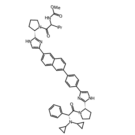 COC(=O)NC(C(=O)N1CCC[C@H]1c1nc(-c2ccc3cc(-c4ccc(-c5c[nH]c([C@@H]6CCCN6C(=O)[C@@H](c6ccccc6)N(C6CC6)C6CC6)n5)cc4)ccc3c2)c[nH]1)C(C)C